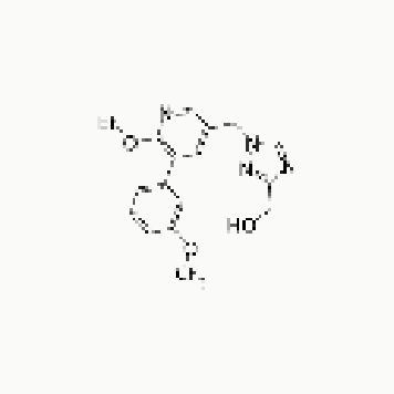 CCOc1ncc(Cn2cnc(CO)n2)cc1-c1cccc(OC(F)(F)F)c1